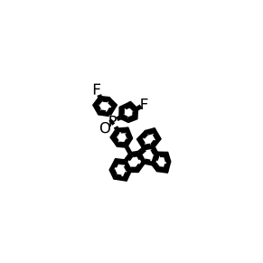 O=P(c1ccc(F)cc1)(c1ccc(F)cc1)c1ccc(-c2c3ccccc3cc3c4ccccc4c4ccccc4c23)cc1